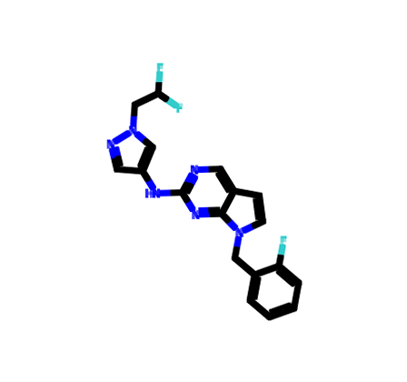 Fc1ccccc1Cn1ccc2cnc(Nc3cnn(CC(F)F)c3)nc21